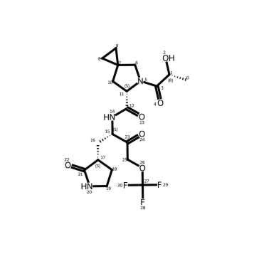 C[C@@H](O)C(=O)N1CC2(CC2)C[C@H]1C(=O)N[C@@H](C[C@@H]1CCNC1=O)C(=O)COC(F)(F)F